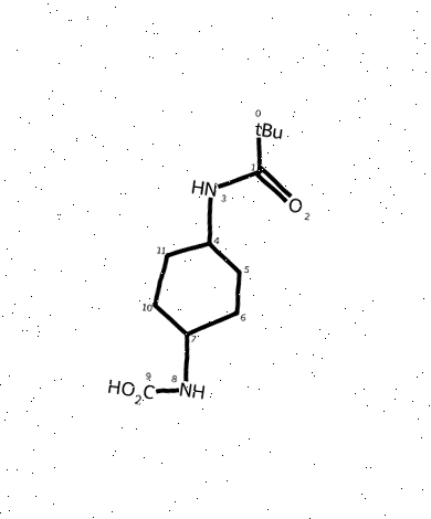 CC(C)(C)C(=O)NC1CCC(NC(=O)O)CC1